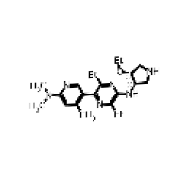 CCO[C@H]1CNC[C@H]1Nc1nc(CC)c(-c2cnc(N(C)C)cc2C)nc1CC